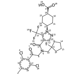 Cc1cc(Cl)c(C(=O)CN(CC2(F)CCCC2)C(=O)c2cnn([C@H]3CC[C@@H](C(=O)O)CC3)c2C(F)(F)F)c(Cl)c1